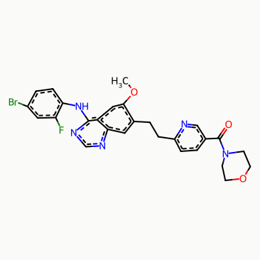 COc1cc2c(Nc3ccc(Br)cc3F)ncnc2cc1CCc1ccc(C(=O)N2CCOCC2)cn1